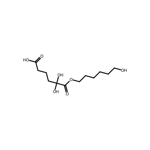 O=C(O)CCCC(O)(O)C(=O)OCCCCCCO